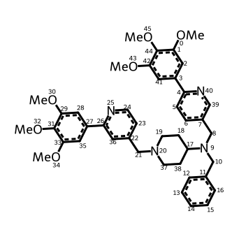 COc1cc(-c2ccc(CN(Cc3ccccc3)C3CCN(Cc4ccnc(-c5cc(OC)c(OC)c(OC)c5)c4)CC3)cn2)cc(OC)c1OC